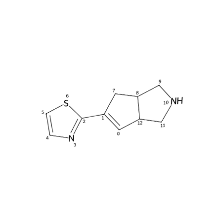 C1=C(c2nccs2)CC2CNCC12